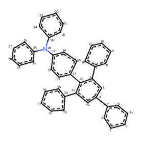 c1ccc(-c2cc(-c3ccccc3)c(-c3ccc(N(c4ccccc4)c4ccccc4)cc3)c(-c3ccccc3)c2)cc1